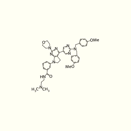 COc1ccc(CN(Cc2ccc(OC)cc2)c2ncc(-c3nc(N4CCOCC4)nc4c3CCN4c3cccc(C(=O)NCCN(C)C)c3)cn2)cc1